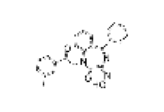 Cc1cccc(C(=O)Cn2c(=O)c(=NO)nc(-c3ccccc3)c3ccccc32)c1